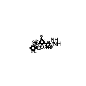 COc1c(OS(=O)(=O)c2ccccc2Cl)cc(C)cc1C1CCCN(C(=N)N)C1